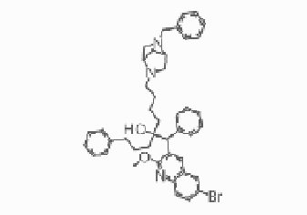 COc1nc2ccc(Br)cc2cc1C(c1ccccc1)C(O)(CCCCN1CC2CC1CN2Cc1ccccc1)CCCc1ccccc1